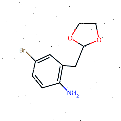 Nc1ccc(Br)cc1C[C]1OCCO1